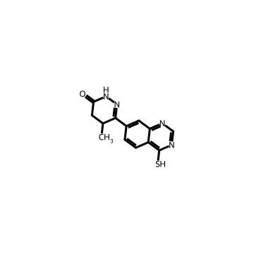 CC1CC(=O)NN=C1c1ccc2c(S)ncnc2c1